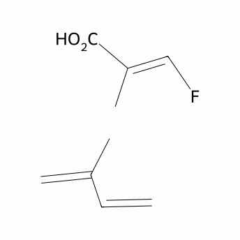 C=CC(=C)C.CC(=CF)C(=O)O